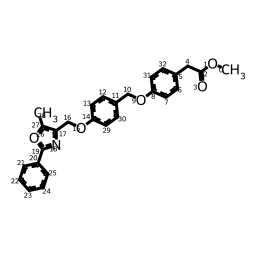 COC(=O)Cc1ccc(OCc2ccc(OCc3nc(-c4ccccc4)oc3C)cc2)cc1